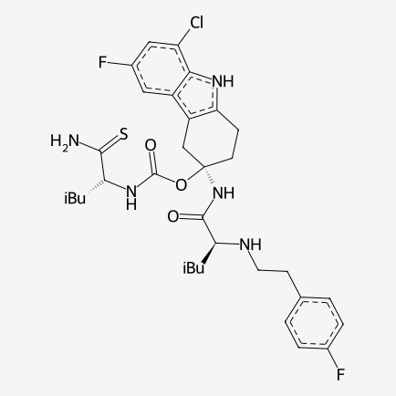 CCC(C)[C@H](NCCc1ccc(F)cc1)C(=O)N[C@@]1(OC(=O)NC(C(N)=S)[C@@H](C)CC)CCc2[nH]c3c(Cl)cc(F)cc3c2C1